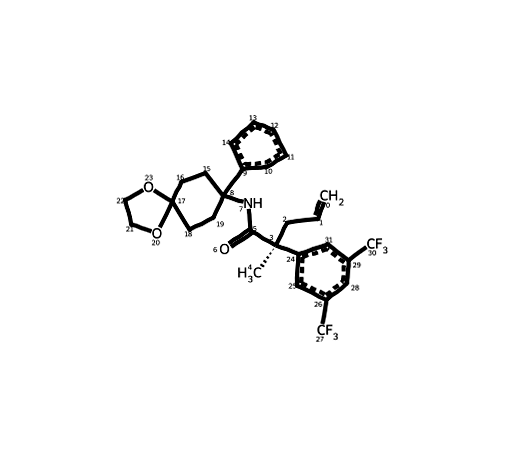 C=CC[C@](C)(C(=O)NC1(c2ccccc2)CCC2(CC1)OCCO2)c1cc(C(F)(F)F)cc(C(F)(F)F)c1